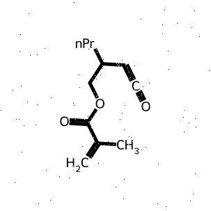 C=C(C)C(=O)OCC(C=C=O)CCC